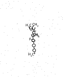 C=C/C=C(O/C=C\CC)\C(F)=C(\F)CC(=C)/C=C\C(=C/C)c1ccc(C2CCC(C3CCC(C=C)CC3)CC2)cc1F